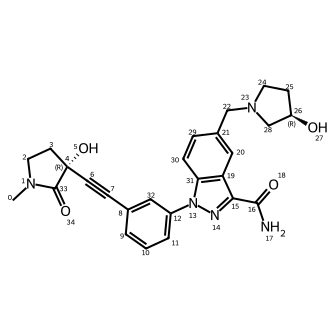 CN1CC[C@@](O)(C#Cc2cccc(-n3nc(C(N)=O)c4cc(CN5CC[C@@H](O)C5)ccc43)c2)C1=O